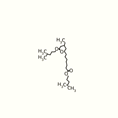 CCC(CCCCCCCCC(=O)OCCCC(C)C)CC(=O)OCCCC(C)C